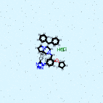 Cl.Cl.FC(F)(F)c1nnnn1-c1ccc(OC2CCCC2)c(CN2C[C@@H]3CCCN3[C@H](C(c3ccccc3)c3ccccc3)C2)c1